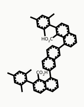 Cc1cc(C)c(-c2ccc3cccc(-c4ccc5ccc(-c6cccc7ccc(-c8c(C)cc(C)cc8C)c(C(=O)O)c67)cc5c4)c3c2C(=O)O)c(C)c1